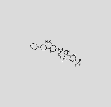 Cc1cc(NC(=O)c2cnn(-c3ccc(C(F)(F)F)cn3)c2C(F)(F)F)cnc1C1=CCC(N2CCOCC2)CC1